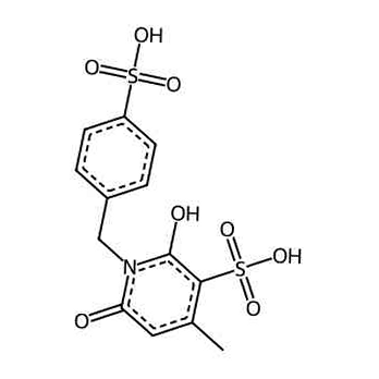 Cc1cc(=O)n(Cc2ccc(S(=O)(=O)O)cc2)c(O)c1S(=O)(=O)O